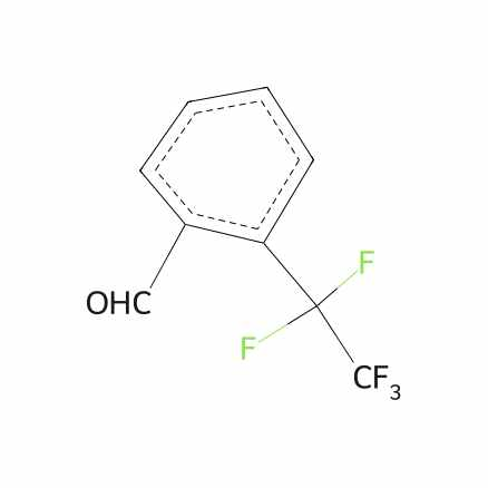 O=Cc1ccccc1C(F)(F)C(F)(F)F